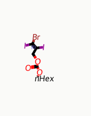 CCCCCCOC(=O)OC/C(I)=C(/Br)I